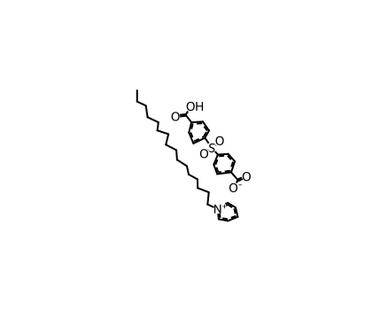 CCCCCCCCCCCCCCCC[n+]1ccccc1.O=C([O-])c1ccc(S(=O)(=O)c2ccc(C(=O)O)cc2)cc1